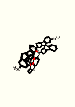 CC(C)(C)c1ccc2c(c1)C1(c3ccccc3Oc3ccc(N(c4ccc5c(c4)C4(c6ccccc6-5)c5cc(C(C)(C)C)ccc5-c5ccc(C(C)(C)C)cc54)c4ccccc4-c4cccc5ccccc45)cc31)c1cc(C(C)(C)C)ccc1-2